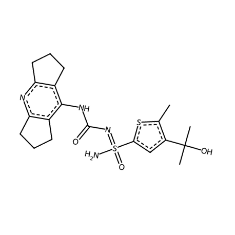 Cc1sc(S(N)(=O)=NC(=O)Nc2c3c(nc4c2CCC4)CCC3)cc1C(C)(C)O